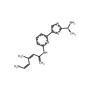 C=C(/C=C(C)\C=C/N)Nc1cccc(-c2cnc([C@H](C)N)s2)n1